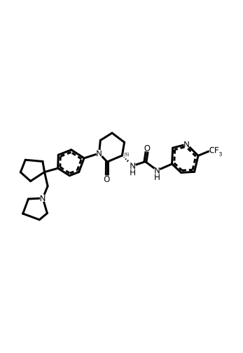 O=C(Nc1ccc(C(F)(F)F)nc1)N[C@H]1CCCN(c2ccc(C3(CN4CCCC4)CCCC3)cc2)C1=O